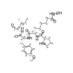 CC[C@@H](C)[C@@H](C=O)NC(=O)[C@@H](Cc1ccc(OC)cc1)NC(=O)[C@H](CCCCCC(=O)NO)NC(=O)C1CCCN1